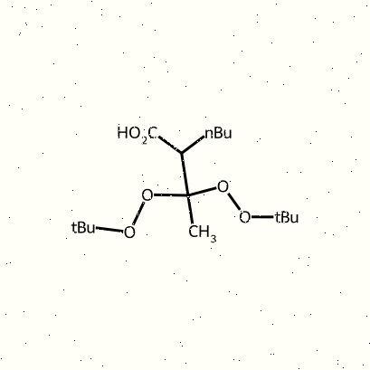 CCCCC(C(=O)O)C(C)(OOC(C)(C)C)OOC(C)(C)C